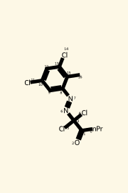 CCCC(=O)C(Cl)(Cl)N=Nc1cc(Cl)cc(Cl)c1C